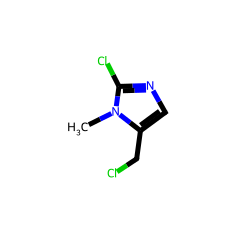 Cn1c(CCl)cnc1Cl